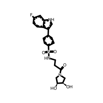 O=C(CCNS(=O)(=O)c1ccc(-c2c[nH]c3cc(F)ccc23)cc1)N1C[C@@H](O)[C@@H](O)C1